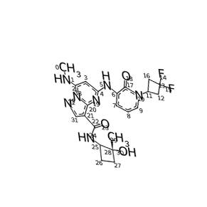 CNc1cc(Nc2cccn(C3CC(F)(F)C3)c2=O)nc2c(C(=O)NC3CC[C@@]3(C)O)cnn12